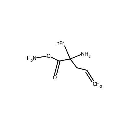 C=CCC(N)(CCC)C(=O)ON